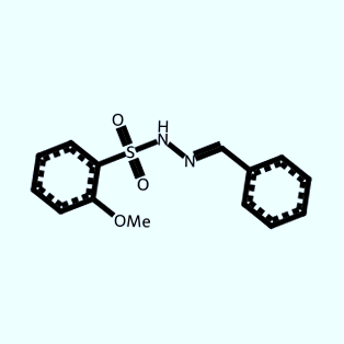 COc1ccccc1S(=O)(=O)NN=Cc1ccccc1